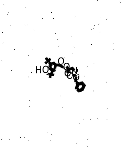 CN(CC(=O)OCC(=O)c1cc(C(C)(C)C)c(O)c(C(C)(C)C)c1)C(=O)OCc1ccccc1